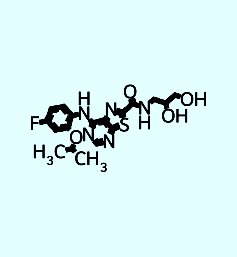 CC(C)Oc1cc(F)ccc1Nc1ncnc2sc(C(=O)NCC(O)CO)nc12